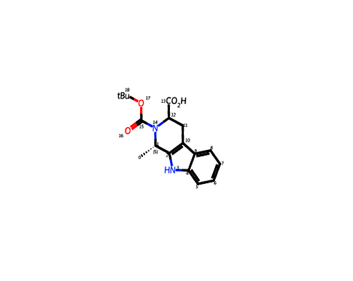 C[C@H]1c2[nH]c3ccccc3c2CC(C(=O)O)N1C(=O)OC(C)(C)C